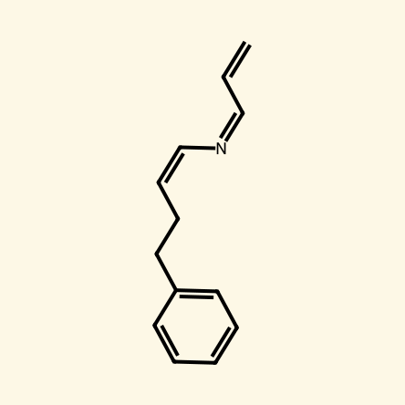 C=C/C=N\C=C/CCc1ccccc1